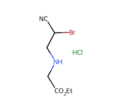 CCOC(=O)CNCC(Br)C#N.Cl